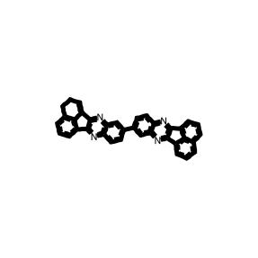 C1=C2c3nc4cc(-c5ccc6nc7c(nc6c5)-c5cccc6cccc-7c56)ccc4nc3-c3cccc(c32)CC1